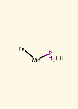 [LiH].[PH2][Mn][Fe]